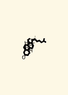 CC(C)CCC[C@@H](C)[C@H]1CC[C@H]2[C@@H]3CC=C4CC(=O)CC[C@H]4[C@H]3CC[C@]12C